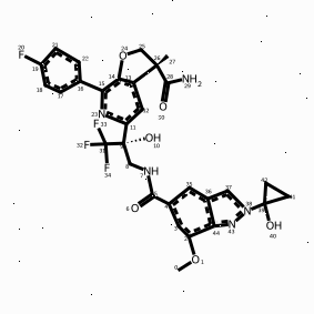 COc1cc(C(=O)NC[C@](O)(c2cc3c(c(-c4ccc(F)cc4)n2)OC[C@]3(C)C(N)=O)C(F)(F)F)cc2cn(C3(O)CC3)nc12